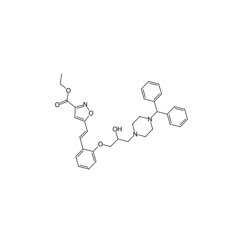 CCOC(=O)c1cc(C=Cc2ccccc2OCC(O)CN2CCN(C(c3ccccc3)c3ccccc3)CC2)on1